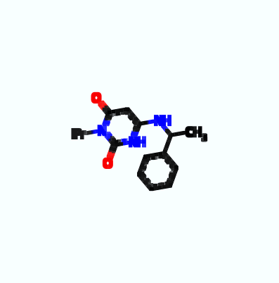 CC(Nc1cc(=O)n(C(C)C)c(=O)[nH]1)c1ccccc1